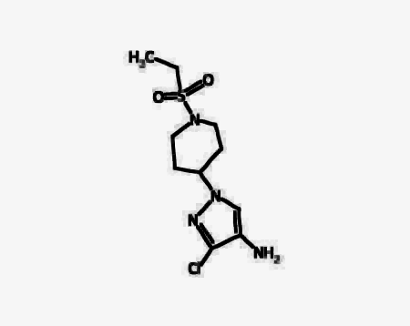 CCS(=O)(=O)N1CCC(n2cc(N)c(Cl)n2)CC1